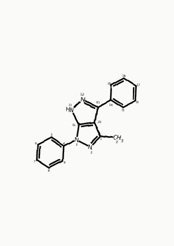 Cc1nn(-c2ccccc2)c2[nH]nc(-c3ccccc3)c12